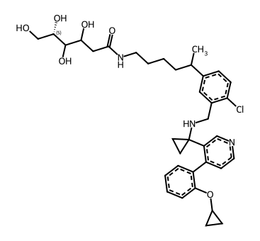 CC(CCCCNC(=O)CC(O)C(O)[C@@H](O)CO)c1ccc(Cl)c(CNC2(c3cnccc3-c3ccccc3OC3CC3)CC2)c1